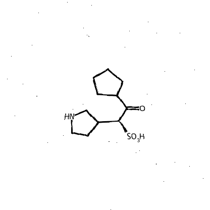 O=C(C1CCCC1)[C@H](C1CCNC1)S(=O)(=O)O